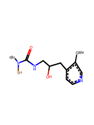 COc1cnccc1CC(O)CNC(=O)N(S)C(C)(C)C